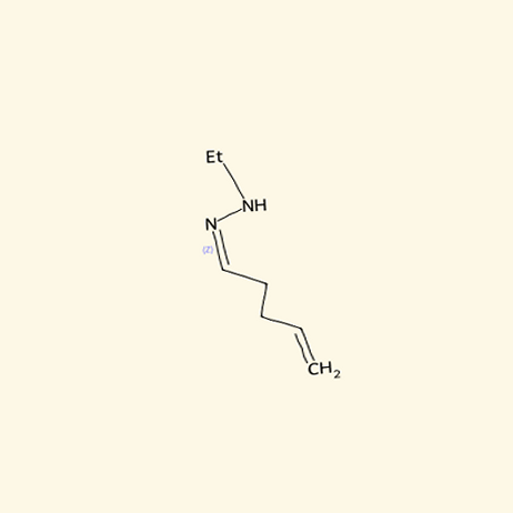 C=CCC/C=N\NCC